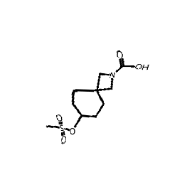 CS(=O)(=O)OC1CCC2(CC1)CN(C(=O)O)C2